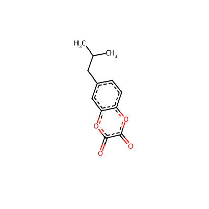 CC(C)Cc1ccc2oc(=O)c(=O)oc2c1